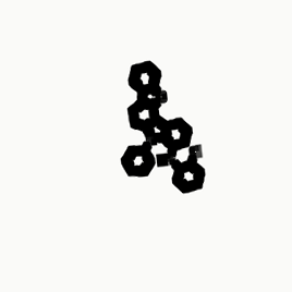 Clc1ccccc1Nc1cccc2c3c4oc5ccccc5c4ccc3n(-c3ccccc3)c12